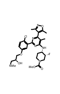 CNC[C@H](O)COc1ccc(Cl)c(-c2nc(N[C@H]3CCN(C(=O)OC)C[C@H]3F)c(C)c(-c3c(C)noc3C)n2)c1